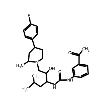 CC(=O)c1cccc(NC(=O)NC(CC(C)C)C(O)CN2CCC(c3ccc(F)cc3)CC2C)c1